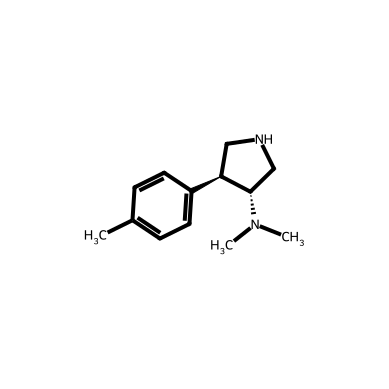 Cc1ccc([C@H]2CNC[C@@H]2N(C)C)cc1